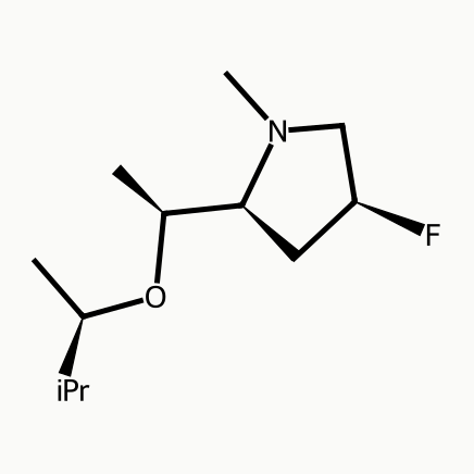 CC(C)[C@@H](C)O[C@@H](C)[C@@H]1C[C@H](F)CN1C